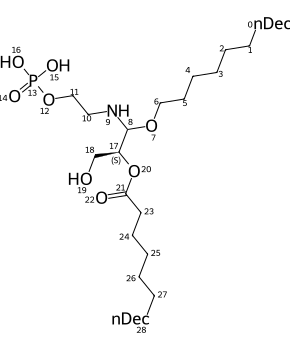 CCCCCCCCCCCCCCCCOC(NCCOP(=O)(O)O)[C@H](CO)OC(=O)CCCCCCCCCCCCCCC